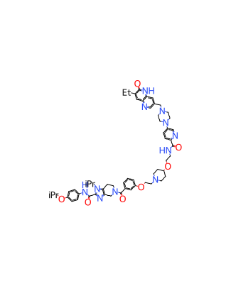 CCc1cc2ncc(CN3CCN(c4ccc(C(=O)NCCOC5CCN(CCOc6cccc(C(=O)N7CCc8c(nc(C(=O)Nc9ccc(OC(C)C)cc9)n8C(C)C)C7)c6)CC5)nc4)CC3)cc2[nH]c1=O